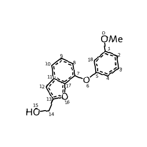 COc1cccc(Oc2cccc3cc(CO)oc23)c1